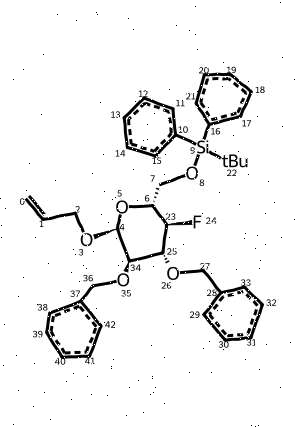 C=CCO[C@H]1O[C@H](CO[Si](c2ccccc2)(c2ccccc2)C(C)(C)C)[C@@H](F)[C@H](OCc2ccccc2)[C@H]1OCc1ccccc1